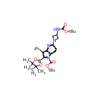 CC(C)c1c(B2OC(C)(C)C(C)(C)O2)n(C(=O)OC(C)(C)C)c2ccc(N3CC(NC(=O)OC(C)(C)C)C3)nc12